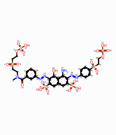 CN(CCS(=O)(=O)CCOS(=O)(=O)O)C(=O)c1cccc(/N=N/c2c(S(=O)(=O)O)cc3cc(S(=O)(=O)O)c(/N=N/c4ccc(S(=O)(=O)CCOS(=O)(=O)O)cc4)c(N)c3c2O)c1